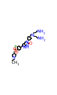 CCCN1CCC(CS(=O)(=O)c2ccc(-c3cc4cn(-c5ccc(CN(CCCN)CCCN)cc5)c(=O)nc4[nH]3)cc2F)CC1